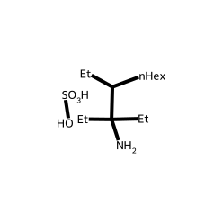 CCCCCCC(CC)C(N)(CC)CC.O=S(=O)(O)O